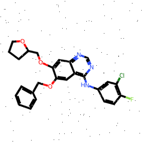 Fc1ccc(Nc2ncnc3cc(OCC4CCCO4)c(OCc4ccccc4)cc23)cc1Cl